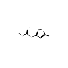 CNC(=O)Nc1cc(C)on1